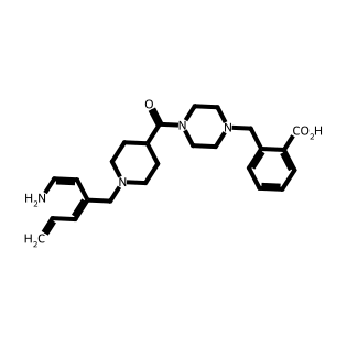 C=C/C=C(\C=C/N)CN1CCC(C(=O)N2CCN(Cc3ccccc3C(=O)O)CC2)CC1